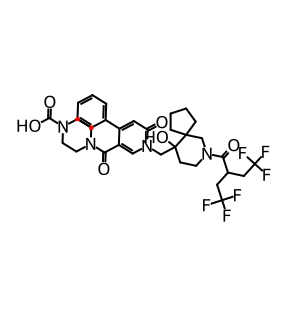 O=C(O)N1CCN(C(=O)c2cn(CC3(O)CCN(C(=O)C(CC(F)(F)F)CC(F)(F)F)CC34CCCC4)c(=O)cc2-c2ccccc2)CC1